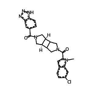 Cn1c(C(=O)N2CC3C(C2)[C@@H]2CN(C(=O)c4ccc5[nH]nnc5c4)C[C@H]32)cc2ccc(Cl)cc21